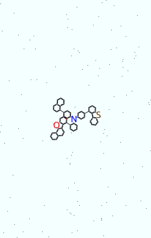 c1ccc(N(c2ccc(-c3cccc4ccccc34)cc2)c2ccc(-c3cccc4sc5ccccc5c34)cc2)c(-c2cccc3oc4c5ccccc5ccc4c23)c1